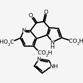 O=C(O)c1cc(C(=O)O)c2c(n1)C(=O)C(=O)c1cc(C(=O)O)[nH]c1-2.c1c[nH]cn1